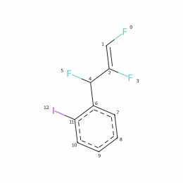 FC=C(F)C(F)c1ccccc1I